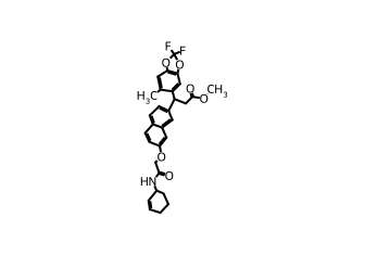 COC(=O)CC(c1ccc2ccc(OCC(=O)NC3C=CCCC3)cc2c1)c1cc2c(cc1C)OC(F)(F)O2